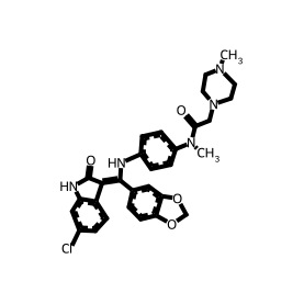 CN1CCN(CC(=O)N(C)c2ccc(N/C(=C3\C(=O)Nc4cc(Cl)ccc43)c3ccc4c(c3)OCO4)cc2)CC1